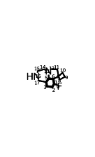 Fc1ccc2c3c1C1(CCC1)CCN3CCNC2